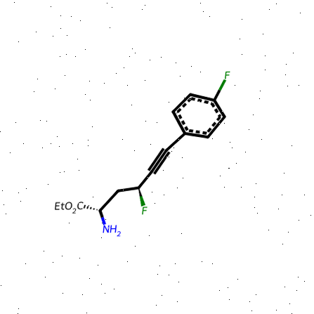 CCOC(=O)[C@@H](N)C[C@H](F)C#Cc1ccc(F)cc1